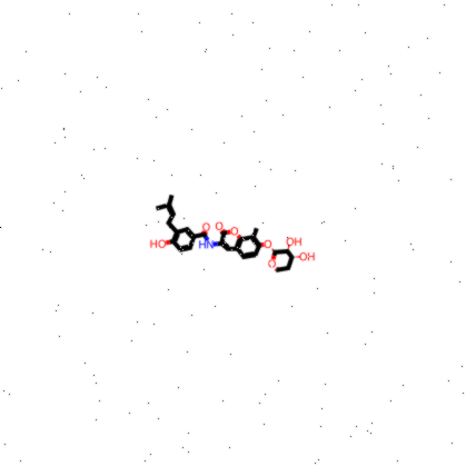 CC(C)=CCc1cc(C(=O)Nc2cc3ccc(O[C@H]4OCC[C@@H](O)[C@H]4O)c(C)c3oc2=O)ccc1O